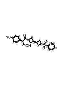 N#Cc1ccc(C(CO)C(=O)N2CC(=C3CN(S(=O)(=O)c4ccccn4)C3)C2)cc1